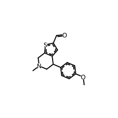 COc1ccc(C2CN(C)Cc3sc(C=O)cc32)cc1